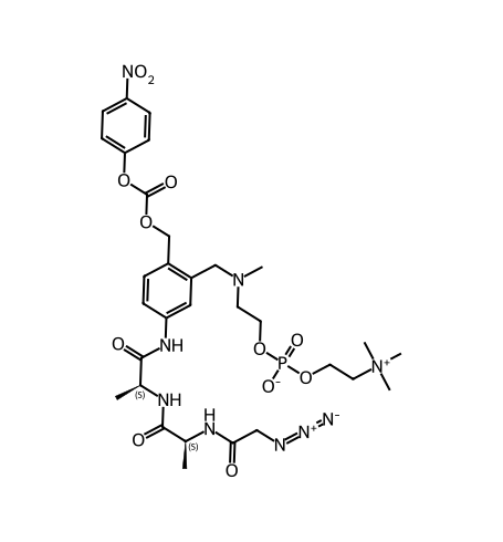 C[C@H](NC(=O)CN=[N+]=[N-])C(=O)N[C@@H](C)C(=O)Nc1ccc(COC(=O)Oc2ccc([N+](=O)[O-])cc2)c(CN(C)CCOP(=O)([O-])OCC[N+](C)(C)C)c1